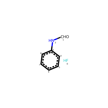 F.O=CNc1ccccc1